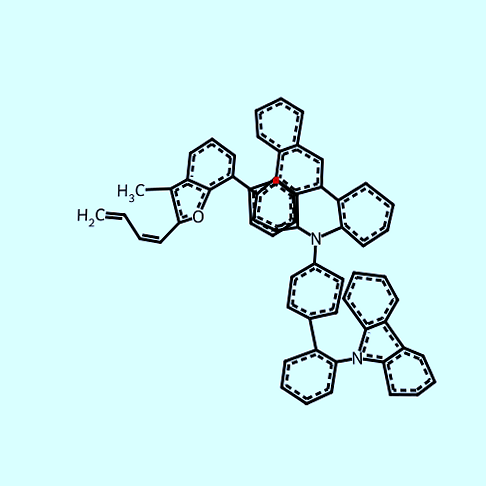 C=C/C=C\c1oc2c(-c3ccc(N(c4ccc(-c5ccccc5-n5c6ccccc6c6ccccc65)cc4)c4ccccc4-c4cc5ccccc5c5ccccc45)cc3)cccc2c1C